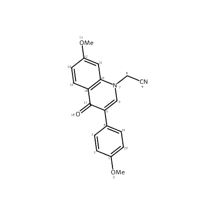 COc1ccc(-c2cn(CC#N)c3cc(OC)ccc3c2=O)cc1